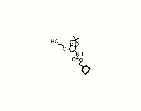 CC1(C)OC2C(O1)[C@H](NC(=O)OCc1ccccc1)C[C@@H]2OCCO